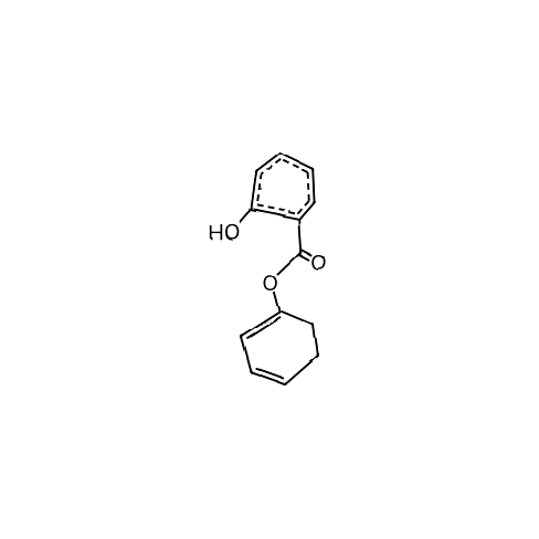 O=C(OC1=CC=CCC1)c1ccccc1O